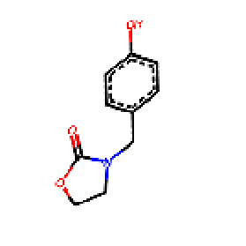 O=C1OCCN1Cc1ccc(O)cc1